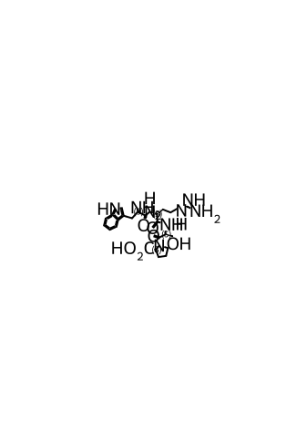 N=C(N)NCCC[C@H](NC(=O)[C@@H](N)Cc1c[nH]c2ccccc12)C(=O)N[C@@H](CO)C(=O)N1CCC[C@H]1C(=O)O